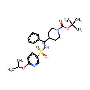 CC(C)Oc1ccc(S(=O)(=O)N[C@@H](c2ccccc2)C2CCN(C(=O)OC(C)(C)C)CC2)cn1